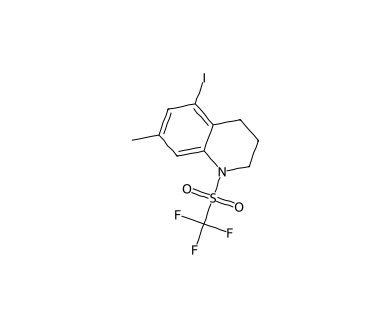 Cc1cc(I)c2c(c1)N(S(=O)(=O)C(F)(F)F)CCC2